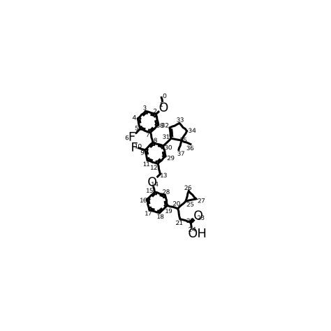 COc1ccc(F)c(-c2c(F)cc(COc3cccc(C(CC(=O)O)C4CC4)c3)cc2C2=CCCC2(C)C)c1